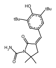 CC(C)(C)c1cc(C=C2CC(C)(C)N(C(N)=O)C2=O)cc(C(C)(C)C)c1O